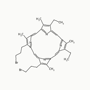 CCC1=C(C)C2=NC1=CC1=NC(=CC3=NC(=CC4=NC(=C2)C(C)=C4CCCBr)C(CCCBr)=C3C)C(CC)=C1C